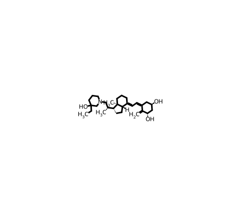 C=C1/C(=C\C=C2/CCC[C@]3(C)[C@@H]([C@H](C)CN4CCCC(O)(CC)C4)CC[C@@H]23)C[C@@H](O)C[C@@H]1O